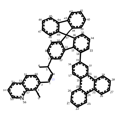 Cc1c(/C=C\C(C)c2ccc3c(c2)-c2c(-c4ccc5c6ccccc6c6ccccc6c5c4)cccc2C32c3ccccc3-c3ccccc32)ccc2cccnc12